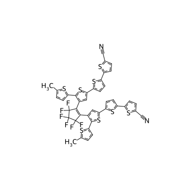 Cc1ccc(-c2sc(-c3ccc(-c4ccc(C#N)s4)s3)cc2C2=C(c3cc(-c4ccc(-c5ccc(C#N)s5)s4)sc3-c3ccc(C)s3)C(F)(F)C(F)(F)C2(F)F)s1